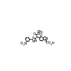 CC(C)(C)OC(=O)N(c1nnc(-c2cccc([N+](=O)[O-])c2)s1)c1ccc2c(cnn2C(=O)O)c1Cl